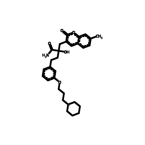 Cc1ccc2cc(CC(O)(CCc3cccc(OCCCN4CCCCC4)c3)C(N)=O)c(=O)oc2c1